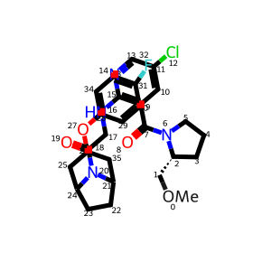 COC[C@H]1CCCN1C(=O)c1cc(Cl)cnc1NCC(=O)N1C2CCC1CC(Oc1ccc(F)cc1)C2